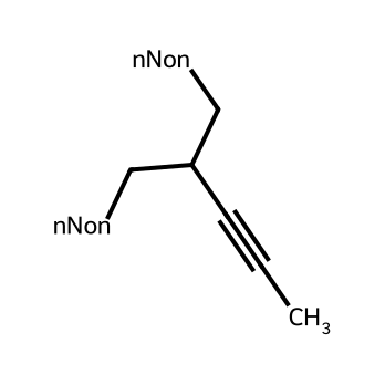 CC#CC(CCCCCCCCCC)CCCCCCCCCC